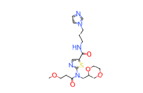 COCCC(=O)N(CC1COCCO1)c1ncc(C(=O)NCCCn2ccnc2)s1